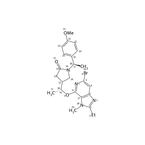 CCc1nc2cc(Br)nc(O[C@H](C)C3CC(=O)N([C@H](C)c4ccc(OC)cc4)C3)c2n1C